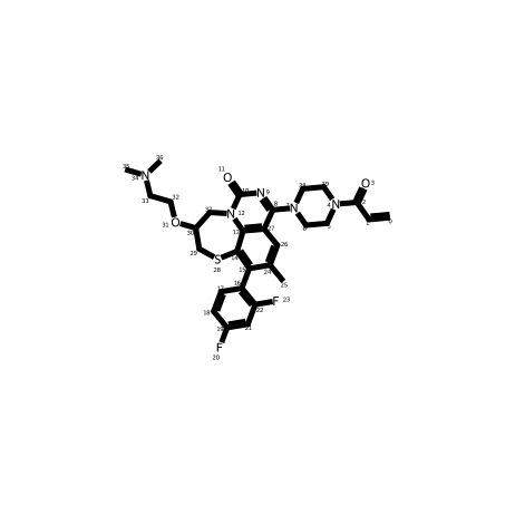 C=CC(=O)N1CCN(c2nc(=O)n3c4c(c(-c5ccc(F)cc5F)c(C)cc24)SCC(OCCN(C)C)C3)CC1